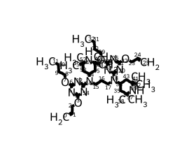 C=CCOc1nc(OCCCC)nc(N(CCCN(c2nc(OCC=C)nc(OCCCC)n2)C2CC(C)(C)NC(C)(C)C2)C2CC(C)(C)NC(C)(C)C2)n1